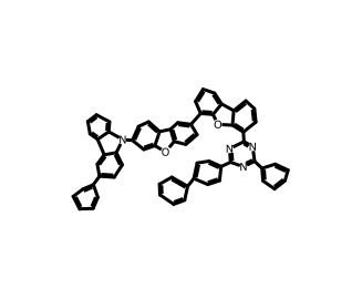 c1ccc(-c2ccc(-c3nc(-c4ccccc4)nc(-c4cccc5c4oc4c(-c6ccc7oc8cc(-n9c%10ccccc%10c%10cc(-c%11ccccc%11)ccc%109)ccc8c7c6)cccc45)n3)cc2)cc1